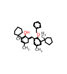 CC1=CC(C2(C)CCCCC2)=C(O)C(=Cc2cc(C)cc(C3(C)CCCCC3)c2OCc2ccccc2)C1